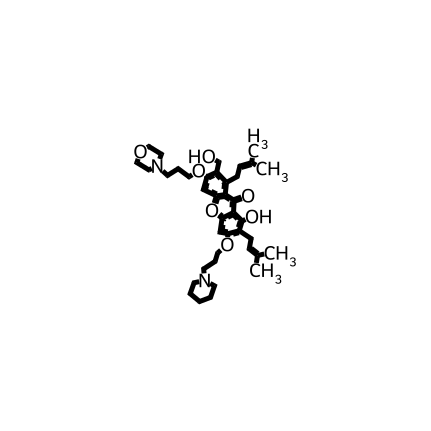 CC(C)=CCc1c(OCCCN2CCCCC2)cc2oc3cc(OCCCN4CCOCC4)c(CO)c(CC=C(C)C)c3c(=O)c2c1O